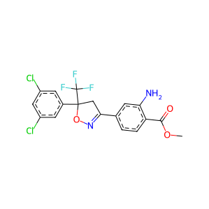 COC(=O)c1ccc(C2=NOC(c3cc(Cl)cc(Cl)c3)(C(F)(F)F)C2)cc1N